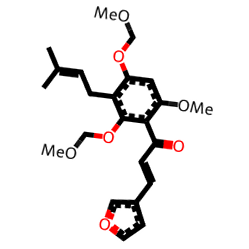 COCOc1cc(OC)c(C(=O)/C=C/c2ccoc2)c(OCOC)c1CC=C(C)C